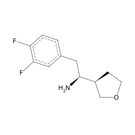 N[C@@H](Cc1ccc(F)c(F)c1)[C@H]1CCOC1